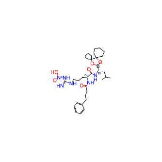 CC(C)C[C@H](NC(=O)[C@H](CCCNC(=N)N[N+](=O)O)NC(=O)CCCc1ccccc1)B1OC2(CCCCC2)C2(CCCCC2)O1